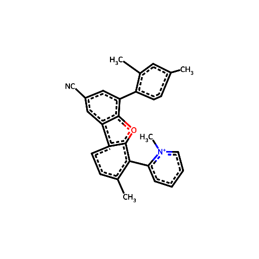 Cc1ccc(-c2cc(C#N)cc3c2oc2c(-c4cccc[n+]4C)c(C)ccc23)c(C)c1